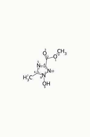 COC(=O)c1nc(C)n(O)n1